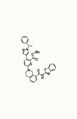 CC(c1ccccc1)n1cc(-c2ccc(N3CCc4cccc(C(=O)Nc5nc6ccccc6s5)c4C3)nc2C(=O)OC(C)(C)C)cn1